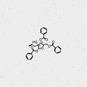 C=CC[C@]1(O)C(OC(=O)c2ccccc2)OC(COC(=O)c2ccccc2)[C@H]1OC(=O)c1ccccc1